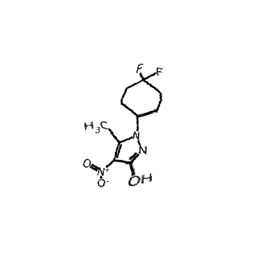 Cc1c([N+](=O)[O-])c(O)nn1C1CCC(F)(F)CC1